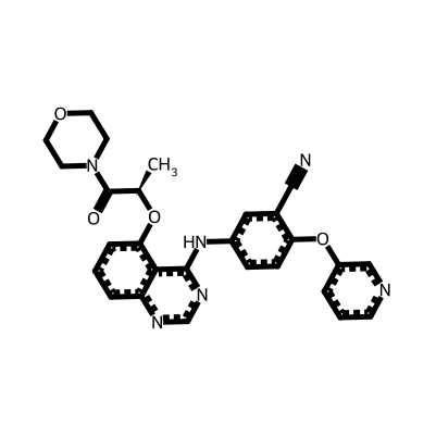 C[C@@H](Oc1cccc2ncnc(Nc3ccc(Oc4cccnc4)c(C#N)c3)c12)C(=O)N1CCOCC1